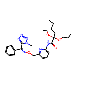 CCCCC(OCC)(OCCC)C(=O)Nc1cccc(CO/N=C(/c2ccccc2)c2nnnn2C)n1